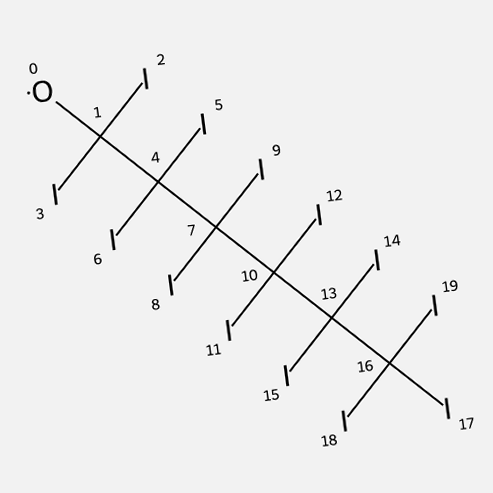 [O]C(I)(I)C(I)(I)C(I)(I)C(I)(I)C(I)(I)C(I)(I)I